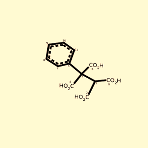 O=C(O)C(C(=O)O)C(C(=O)O)(C(=O)O)c1ccccc1